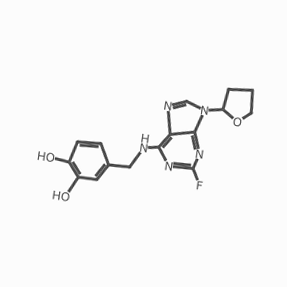 Oc1ccc(CNc2nc(F)nc3c2ncn3C2CCCO2)cc1O